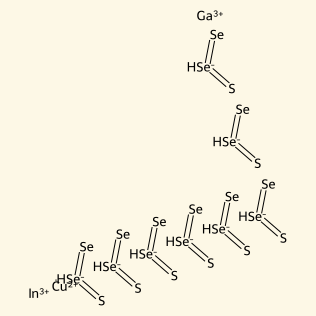 S=[SeH-]=[Se].S=[SeH-]=[Se].S=[SeH-]=[Se].S=[SeH-]=[Se].S=[SeH-]=[Se].S=[SeH-]=[Se].S=[SeH-]=[Se].S=[SeH-]=[Se].[Cu+2].[Ga+3].[In+3]